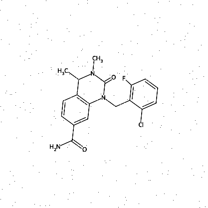 CC1c2ccc(C(N)=O)cc2N(Cc2c(F)cccc2Cl)C(=O)N1C